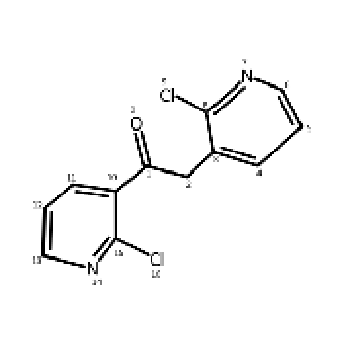 O=C(Cc1cccnc1Cl)c1cccnc1Cl